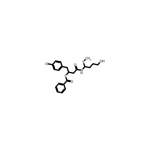 CSC(CCCO)NC(=O)CC(Cc1ccc(Cl)cc1)SC(=O)c1ccccc1